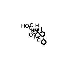 O=C(O)CNC(=O)c1nc(Cl)c2c(-c3ccccc3)ccc(I)c2c1O